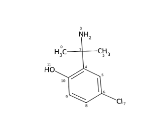 CC(C)(N)c1cc(Cl)ccc1O